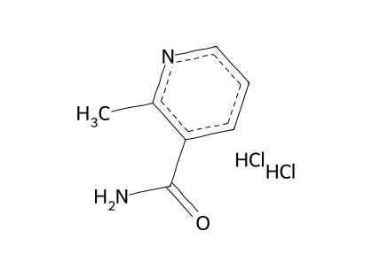 Cc1ncccc1C(N)=O.Cl.Cl